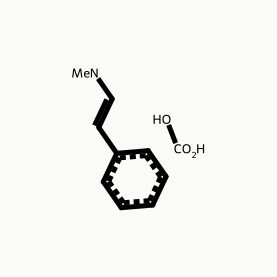 CNC=Cc1ccccc1.O=C(O)O